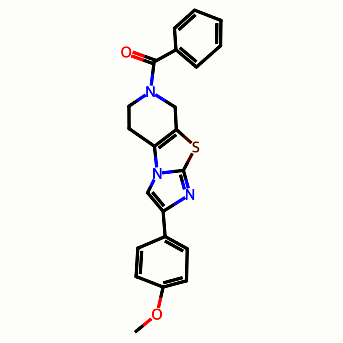 COc1ccc(-c2cn3c4c(sc3n2)CN(C(=O)c2ccccc2)CC4)cc1